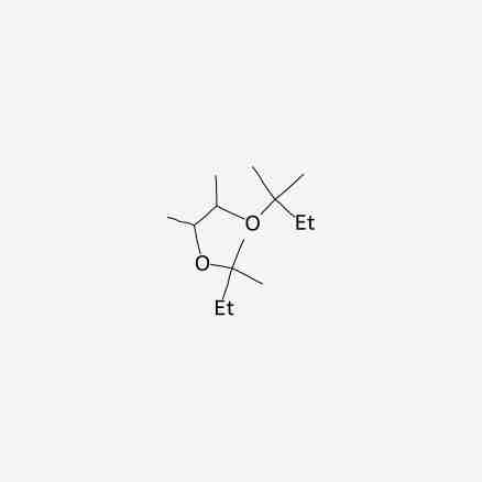 CCC(C)(C)OC(C)C(C)OC(C)(C)CC